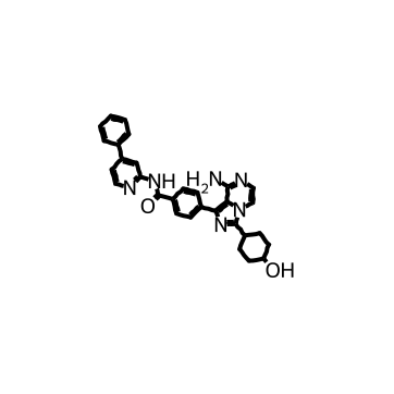 Nc1nccn2c(C3CCC(O)CC3)nc(-c3ccc(C(=O)Nc4cc(-c5ccccc5)ccn4)cc3)c12